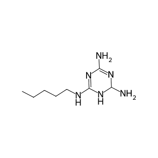 CCCCCNC1=NC(N)=NC(N)N1